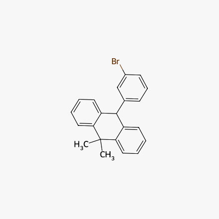 CC1(C)c2ccccc2C(c2cccc(Br)c2)c2ccccc21